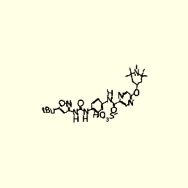 CN1C(C)(C)CC(Oc2cnc(C(=O)Nc3ccc(NC(=O)Nc4cc(C(C)(C)C)on4)cc3)cn2)CC1(C)C.CS(=O)(=O)O